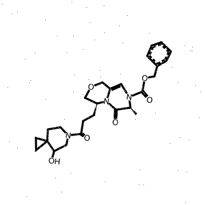 C[C@H]1C(=O)N2C(=CN1C(=O)OCc1ccccc1)COC[C@@H]2CCC(=O)N1CCC2(CC2)C(O)C1